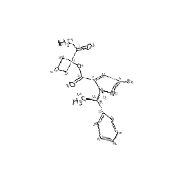 CC(=O)C1(OC(=O)c2cc(F)nn2[C@H](C)c2ccccc2)COC1